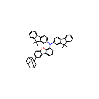 CC1(C)c2ccccc2-c2ccc(N(c3ccc4c(c3)C(C)(C)c3ccccc3-4)c3cccc4c3oc3ccc(C56CC7CC(CC(C7)C5)C6)cc34)cc21